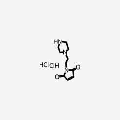 Cl.Cl.O=C1C=CC(=O)N1CCN1CCNCC1